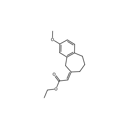 CCOC(=O)C=C1CCCc2ccc(OC)cc2C1